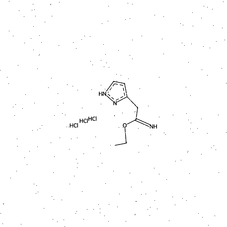 CCOC(=N)Cc1cc[nH]n1.Cl.Cl.Cl